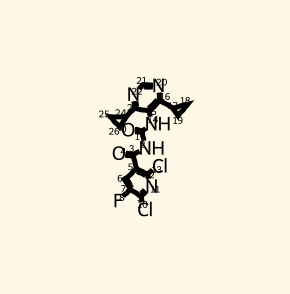 O=C(NC(=O)c1cc(F)c(Cl)nc1Cl)Nc1c(C2CC2)ncnc1C1CC1